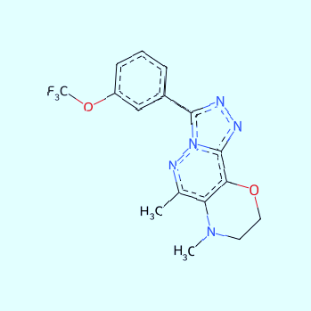 Cc1nn2c(-c3cccc(OC(F)(F)F)c3)nnc2c2c1N(C)CCO2